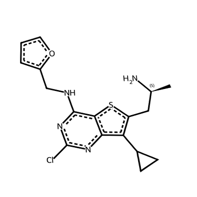 C[C@H](N)Cc1sc2c(NCc3ccco3)nc(Cl)nc2c1C1CC1